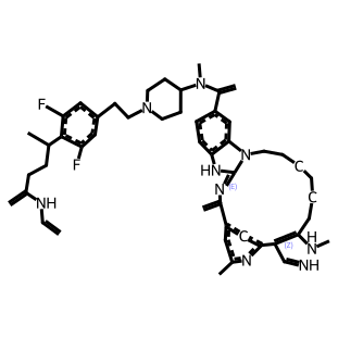 C=CNC(=C)CCC(C)c1c(F)cc(CCN2CCC(N(C)C(=C)c3ccc4c(c3)N3CCCCCC/C(NC)=C(/C=N)c5cc(cc(C)n5)C(=C)/N=C/3N4)CC2)cc1F